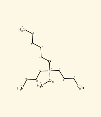 CCCCCO[Si](CCCC)(CCCN)OC